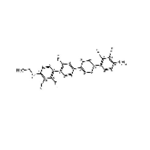 CCOc1ccc(-c2ccc(C3=CCC(c4ccc(C)c(F)c4F)CC3)cc2F)c(F)c1F